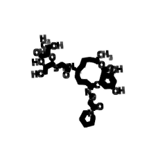 C[C@@H]1C/C=C/[C@H](NC(=O)CS[C@H](OC(CO)[C@H](C)O)[C@@H](O)CO)C/C=C/C(=N/OCC(=O)N2CCCCC2)Cc2cc(O)cc(O)c2C(=O)O1